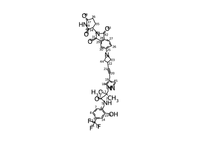 CC(C)(C(=O)Nc1ccc(C(F)(F)F)cc1O)n1cc(C#CC2CN(c3ccc4c(c3)C(=O)N(C3CCC(=O)NC3=O)C4=O)C2)cn1